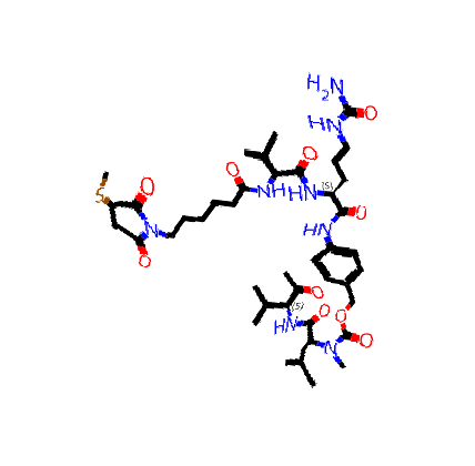 CSC1CC(=O)N(CCCCCC(=O)NC(C(=O)N[C@@H](CCCNC(N)=O)C(=O)Nc2ccc(COC(=O)N(C)C(C(=O)N[C@H](C(C)=O)C(C)C)C(C)C)cc2)C(C)C)C1=O